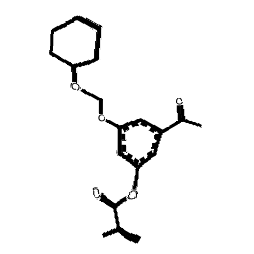 C=C(C)C(=O)Oc1cc(OCOC2CCCCC2)cc(C(C)=O)c1